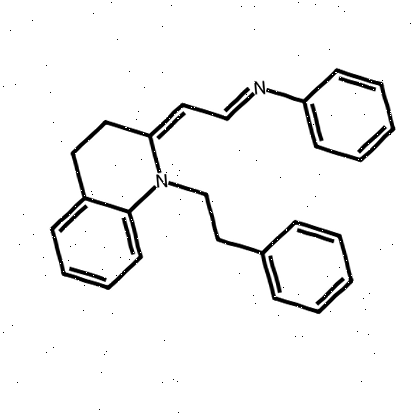 C(C=C1CCc2ccccc2N1CCc1ccccc1)=Nc1ccccc1